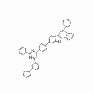 c1ccc(-c2cccc(-c3cc(-c4ccc(-c5ccc6c(c5)oc5c7ccccc7c(-c7ccccc7)cc65)cc4)nc(-c4ccccc4)n3)c2)cc1